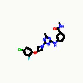 CNC(=O)c1cccc(Nc2nc(C)nc(N3CC(Oc4ccc(Cl)cc4F)C3)n2)c1